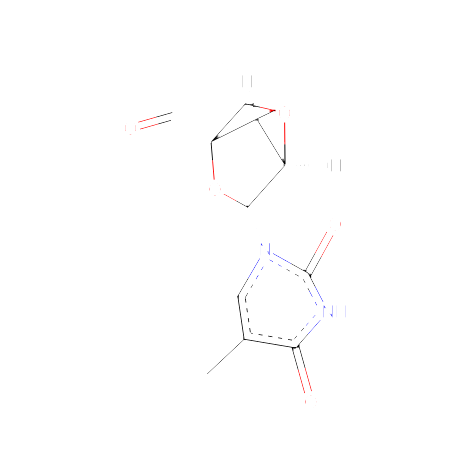 Cc1cn([C@@H]2O[C@@]3(C=O)[C@H](C)O[C@@H]2[C@@H]3C)c(=O)[nH]c1=O